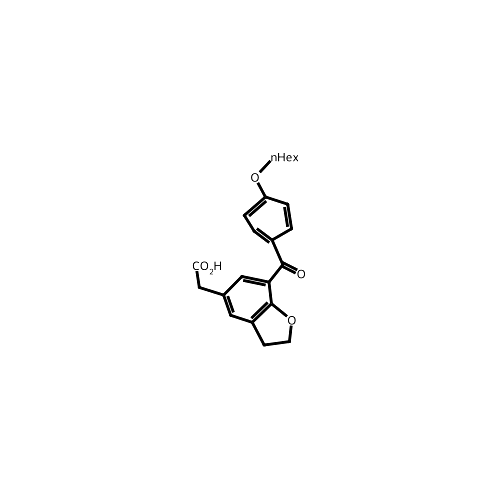 CCCCCCOc1ccc(C(=O)c2cc(CC(=O)O)cc3c2OCC3)cc1